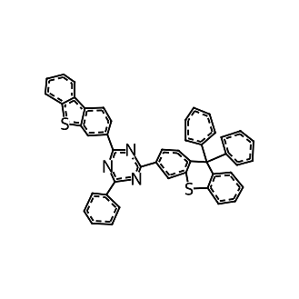 c1ccc(-c2nc(-c3ccc4c(c3)Sc3ccccc3C4(c3ccccc3)c3ccccc3)nc(-c3ccc4c(c3)sc3ccccc34)n2)cc1